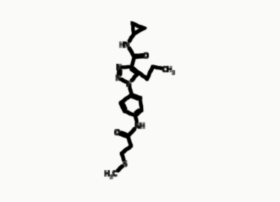 CCCc1c(C(=O)NC2CC2)nnn1-c1ccc(NC(=O)CCSC)cc1